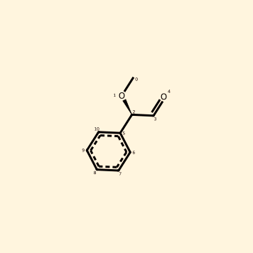 CO[C@@H](C=O)c1ccccc1